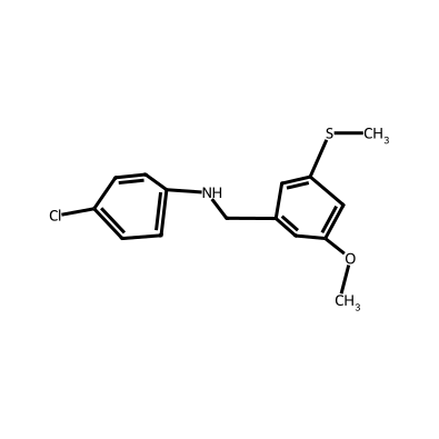 COc1cc(CNc2ccc(Cl)cc2)cc(SC)c1